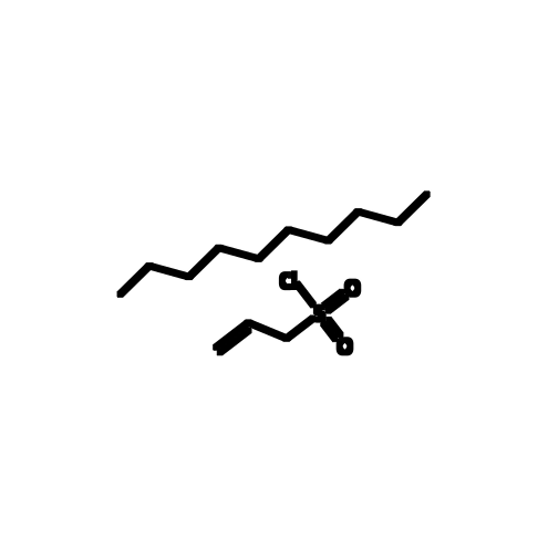 C=CCS(=O)(=O)Cl.CCCCCCCCCC